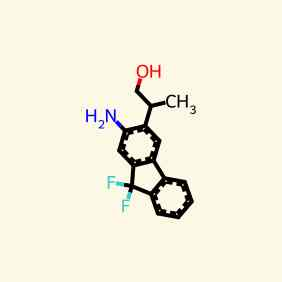 CC(CO)c1cc2c(cc1N)C(F)(F)c1ccccc1-2